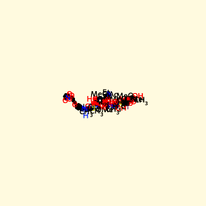 CCN(C(C)=O)C1COC(OC2C(O[C@H]3C#C/C=C\[C@]4(O)CC(=O)C(NC(=O)OC)=C3/C4=C\CSSC(C)(C)CC(=O)N/N=C(\C)c3ccc(OCCCC(=O)ON4C(=O)CCC4=O)cc3)OC(C)C(NOC3CC(O)C(SC(=O)c4c(C)c(I)c(OC5OC(C)C(O)C(OC)C5O)c(OC)c4OC)C(C)O3)C2O)CC1OC